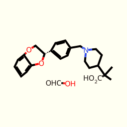 CC(C)(C(=O)O)C1CCN(Cc2ccc([C@H]3COc4ccccc4O3)cc2)CC1.O=CO